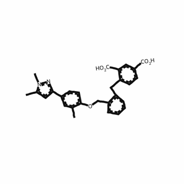 Cc1cc(-c2cc(C)n(C)n2)ccc1OCc1ccccc1Cc1ccc(C(=O)O)cc1C(=O)O